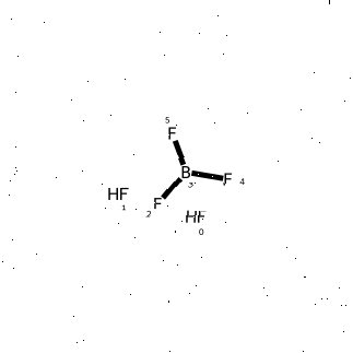 F.F.FB(F)F